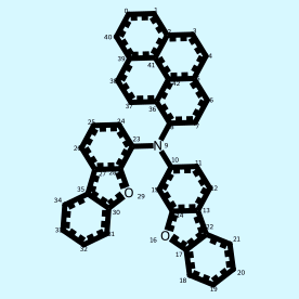 c1cc2ccc3ccc(N(c4ccc5c(c4)oc4ccccc45)c4cccc5c4oc4ccccc45)c4ccc(c1)c2c34